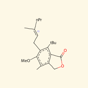 CCC/C(C)=C/Cc1c(OC)c(C)c2c(c1C(C)(C)C)C(=O)OC2